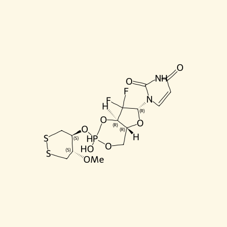 CO[C@@H]1CSSC[C@H]1O[PH]1(O)OC[C@H]2O[C@@H](n3ccc(=O)[nH]c3=O)C(F)(F)[C@@H]2O1